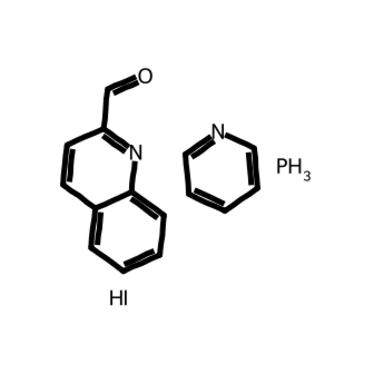 I.O=Cc1ccc2ccccc2n1.P.c1ccncc1